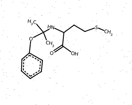 CSCCC(NC(C)(C)Oc1ccccc1)C(=O)O